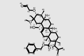 COC1(C)C[C@]2(CO)C3=CC[C@@]4(C)[C@H](C(=O)OCc5ccccc5)[C@@](C)([C@H](C)C(C)C)CC[C@]4(C)[C@H]3CC[C@H]2[C@H](C)[C@H]1OCC=O